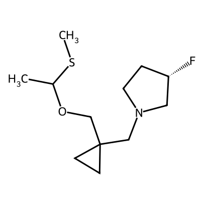 CSC(C)OCC1(CN2CC[C@H](F)C2)CC1